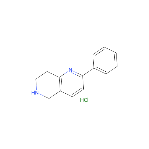 Cl.c1ccc(-c2ccc3c(n2)CCNC3)cc1